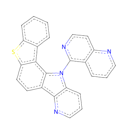 c1ccc2c(c1)sc1ccc3c4ncccc4n(-c4nccc5ncccc45)c3c12